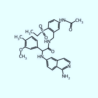 CCS(=O)(=O)c1ccc(NC(C)=O)cc1CNC(=O)C(Nc1ccc2c(N)nccc2c1)c1ccc(C)c(OC)c1